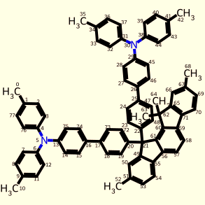 Cc1ccc(N(c2ccc(C)cc2)c2ccc(-c3ccc(C4(c5ccc(-c6ccc(N(c7ccc(C)cc7)c7ccc(C)cc7)cc6)cc5)c5cc(C)ccc5-c5ccc6c(c54)C(C)(C)c4cc(C)ccc4-6)cc3)cc2)cc1